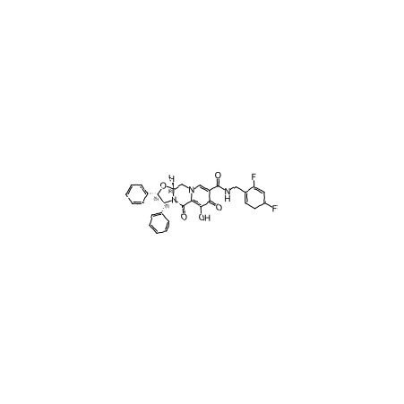 O=C(NCC1=CCC(F)C=C1F)c1cn2c(c(O)c1=O)C(=O)N1[C@H](c3ccccc3)[C@H](c3ccccc3)O[C@@H]1C2